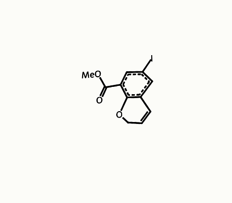 COC(=O)c1cc(I)cc2c1OCC=C2